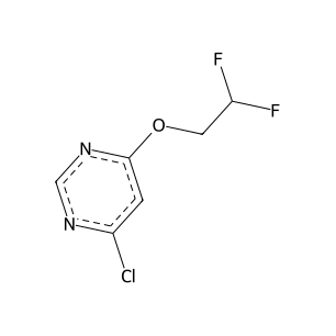 FC(F)COc1cc(Cl)ncn1